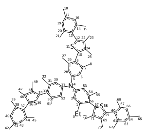 CCc1cc(N(c2cc(C)c(-c3sc(-c4c(C)cc(C)cc4C)c(C)c3C)c(C)c2)c2cc(C)c(-c3sc(-c4c(C)cc(C)cc4C)c(C)c3C)c(C)c2)cc(C)c1-c1sc(-c2c(C)cc(C)cc2C)c(C)c1C